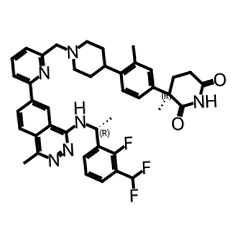 Cc1cc([C@@]2(C)CCC(=O)NC2=O)ccc1C1CCN(Cc2cccc(-c3ccc4c(C)nnc(N[C@H](C)c5cccc(C(F)F)c5F)c4c3)n2)CC1